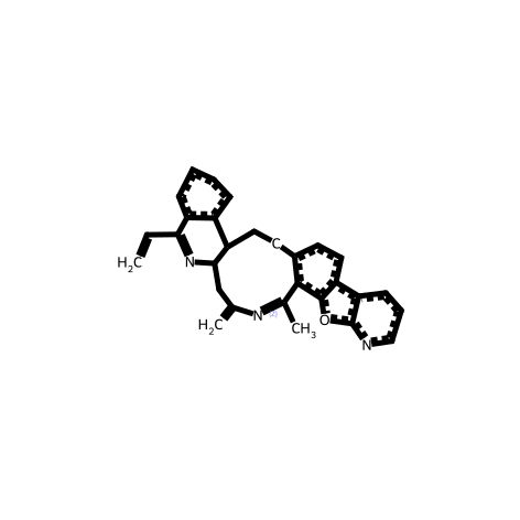 C=CC1=NC2CC(=C)/N=C(/C)c3c(ccc4c3oc3ncccc34)CCC2c2ccccc21